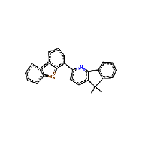 CC1(C)c2ccccc2-c2nc(-c3cccc4c3sc3ccccc34)ccc21